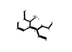 BC(CC)C(/C=C\C)=C(/C=C)CCC